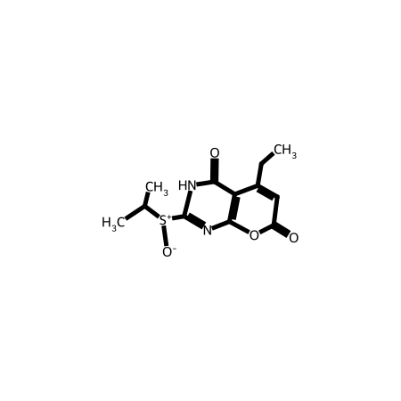 CCc1cc(=O)oc2nc([S+]([O-])C(C)C)[nH]c(=O)c12